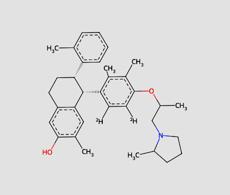 [2H]c1c([2H])c([C@@H]2c3cc(C)c(O)cc3CC[C@@H]2c2ccccc2C)c(C)c(C)c1OC(C)CN1CCCC1C